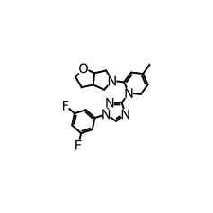 CC1=CCN(c2ncn(-c3cc(F)cc(F)c3)n2)C(N2CC3CCOC3C2)=C1